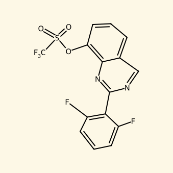 O=S(=O)(Oc1cccc2cnc(-c3c(F)cccc3F)nc12)C(F)(F)F